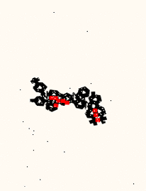 Cc1ccc(-c2ccc(C(C)(C)C)cc2)c(N(c2ccc(C(C)(C)C)cc2)c2ccc3c4cc5c(cc4n4c6ccccc6c2c34)c2ccc(N(c3ccc(C(C)(C)C)cc3)c3cc(C)ccc3-c3ccc(C(C)(C)C)cc3)c3c4ccccc4n5c23)c1